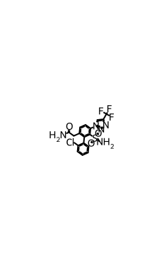 NC(=O)Cc1ccc(-n2cc(C(F)(F)F)nn2)c(S(N)(=O)=O)c1-c1ccccc1Cl